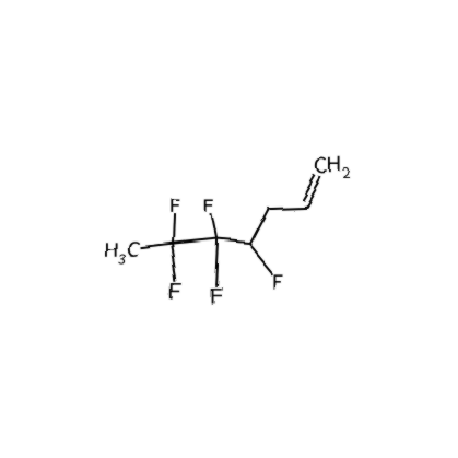 C=CCC(F)C(F)(F)C(C)(F)F